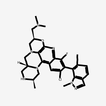 Cc1ccc2cnn(C)c2c1-c1c(Cl)cc2c3c4c(nc2c1F)O[C@H](CN(C)C)CN4C[C@H]1CN[C@H](C)CN31